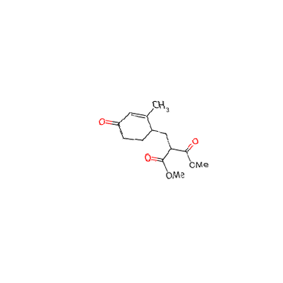 COC(=O)C(CC1CCC(=O)C=C1C)C(=O)OC